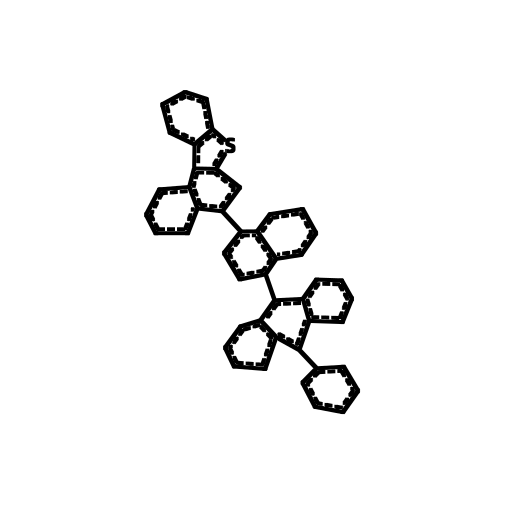 c1ccc(-c2c3ccccc3c(-c3ccc(-c4cc5sc6ccccc6c5c5ccccc45)c4ccccc34)c3ccccc23)cc1